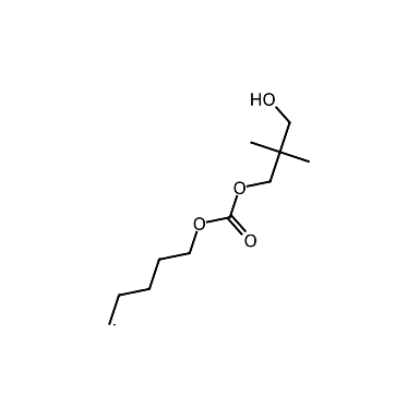 [CH2]CCCCOC(=O)OCC(C)(C)CO